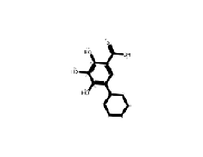 O=C(O)c1cc(C2CCCCC2)c(O)c(O)c1O